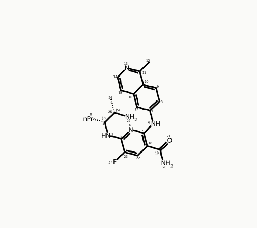 CCC[C@@H](Nc1nc(Nc2ccc3c(C)nccc3c2)c(C(N)=O)cc1F)[C@H](C)N